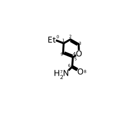 CCC1C=COC(C(N)=O)=C1